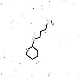 [SiH3]CCCOC1CCCCO1